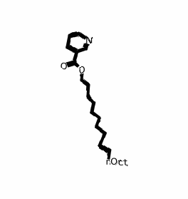 CCCCCCCCC=CCCCCCCCCOC(=O)c1cccnc1